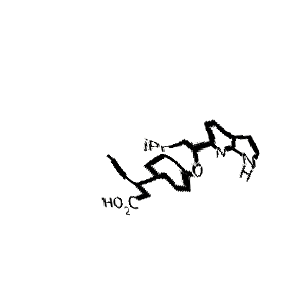 CC#CC(CC(=O)O)c1ccc(OC(CC(C)C)c2ccc3cc[nH]c3n2)cc1